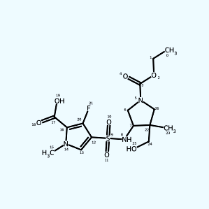 CCOC(=O)N1CC(NS(=O)(=O)c2cn(C)c(C(=O)O)c2F)C(C)(CO)C1